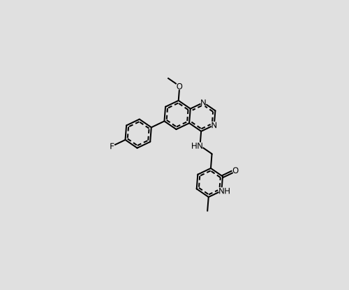 COc1cc(-c2ccc(F)cc2)cc2c(NCc3ccc(C)[nH]c3=O)ncnc12